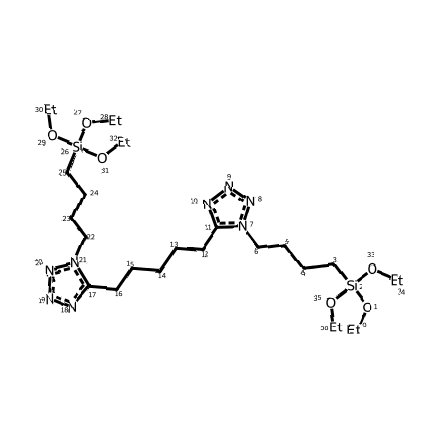 CCO[Si](CCCCn1nnnc1CCCCCc1nnnn1CCCC[Si](OCC)(OCC)OCC)(OCC)OCC